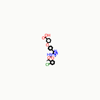 C[C@@H](OC(=O)Nc1c(-c2ccc(OC3CCCC(C(=O)O)C3)cc2)nnn1C)c1ccccc1Cl